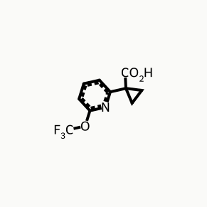 O=C(O)C1(c2cccc(OC(F)(F)F)n2)CC1